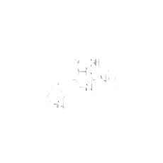 Cc1ccc(Cc2cnc([N+](=O)[O-])n(N)c2=O)cn1